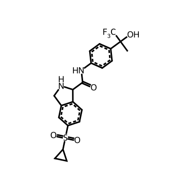 CC(O)(c1ccc(NC(=O)C2NCc3cc(S(=O)(=O)C4CC4)ccc32)cc1)C(F)(F)F